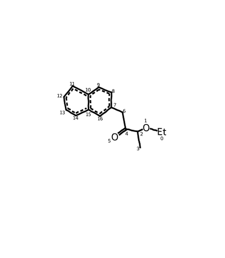 CCOC(C)C(=O)Cc1ccc2ccccc2c1